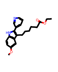 CCOC(=O)CCCCCc1c(-c2cccnc2)[nH]c2ccc(OC)cc12